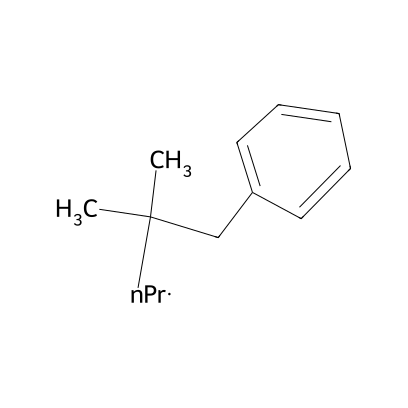 CC[CH]C(C)(C)Cc1ccccc1